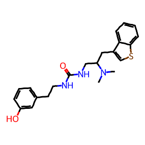 CN(C)C(CNC(=O)NCCc1cccc(O)c1)Cc1csc2ccccc12